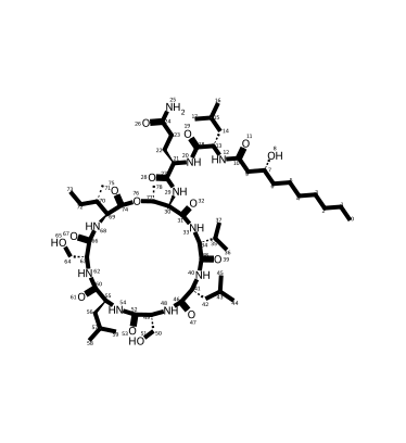 CCCCCCC[C@@H](O)CC(=O)N[C@@H](CC(C)C)C(=O)N[C@H](CCC(N)=O)C(=O)N[C@H]1C(=O)N[C@H](C(C)C)C(=O)N[C@H](CC(C)C)C(=O)N[C@H](CO)C(=O)N[C@@H](CC(C)C)C(=O)N[C@H](CO)C(=O)N[C@@H]([C@@H](C)CC)C(=O)O[C@@H]1C